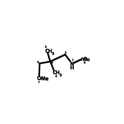 CCCCNCC(C)(C)COC